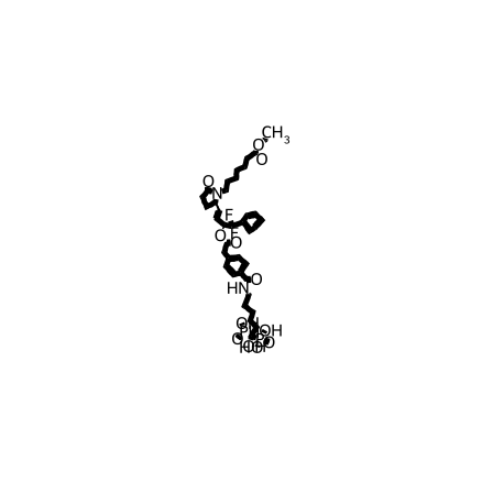 CCOC(=O)CCCCCCN1C(=O)CC[C@@H]1/C=C/[C@@H](OC(=O)Cc1ccc(C(=O)NCCCCCC(O)([PH](=O)O)P(=O)(O)O)cc1)C(F)(F)c1ccccc1